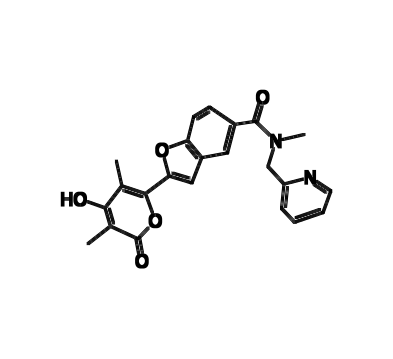 Cc1c(-c2cc3cc(C(=O)N(C)Cc4ccccn4)ccc3o2)oc(=O)c(C)c1O